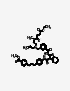 CCCN(CCN(C)C(=O)CCC(=O)OCC)Cc1cccc(C(=O)Nc2sc3c(c2C(=O)Nc2ccc(CCCc4ccc(C(=O)OC)cc4)cc2)CCCC3)c1